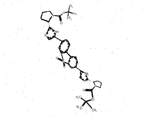 CC(C)(C)OC(=O)N1CCC[C@H]1c1ncc(-c2ccc3c(c2)S(=O)(=O)c2cc(-c4cnc([C@@H]5CCCN5C(=O)OC(C)(C)C)[nH]4)ccc2-3)[nH]1